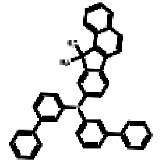 CC1(C)c2cc(N(c3cccc(-c4ccccc4)c3)c3cccc(-c4ccccc4)c3)ccc2-c2ccc3ccccc3c21